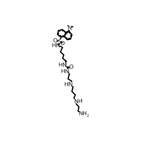 CN(C)c1cccc2c(S(=O)(=O)NCCCCCNC(=O)NCCCNCCCCNCCCN)cccc12